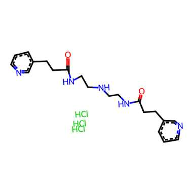 Cl.Cl.Cl.O=C(CCc1cccnc1)NCCNCCNC(=O)CCc1cccnc1